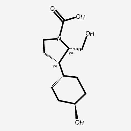 O=C(O)N1CC[C@@H]([C@H]2CC[C@H](O)CC2)[C@H]1CO